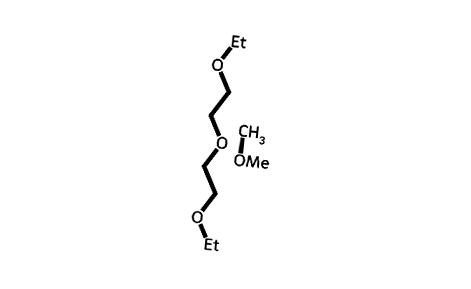 CCOCCOCCOCC.COC